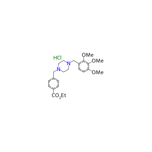 CCOC(=O)c1ccc(CN2CCN(Cc3ccc(OC)c(OC)c3OC)CC2)cc1.Cl